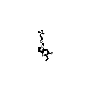 CCc1nc2ccn(COCC[Si](C)(C)C)c2cc1F